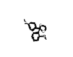 COc1ccccc1C1(c2ccc(SC)cc2)OCCO1